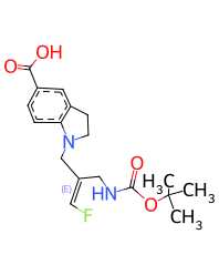 CC(C)(C)OC(=O)NC/C(=C\F)CN1CCc2cc(C(=O)O)ccc21